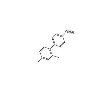 COc1ccc(-c2ccc(C)[c]c2C)cc1